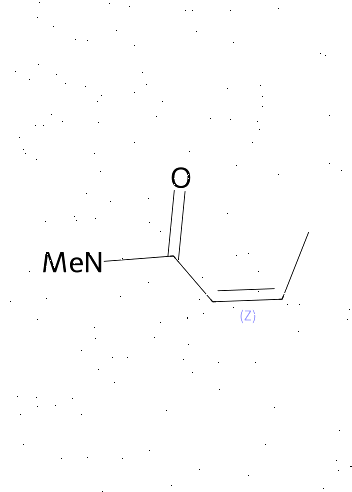 C/C=C\C(=O)NC